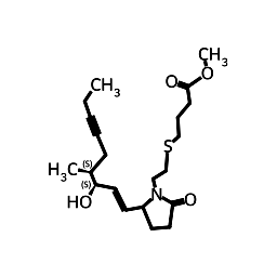 CCC#CC[C@H](C)[C@H](O)C=CC1CCC(=O)N1CCSCCCC(=O)OC